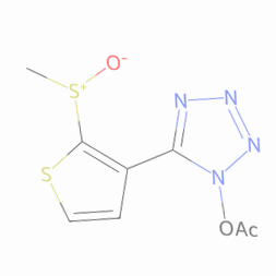 CC(=O)On1nnnc1-c1ccsc1[S+](C)[O-]